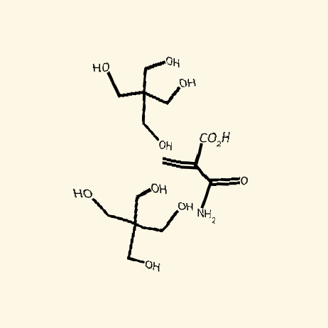 C=C(C(N)=O)C(=O)O.OCC(CO)(CO)CO.OCC(CO)(CO)CO